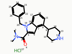 CN(C)C(=O)c1cc2c(C3CCNCC3)cccc2n1Cc1ccccc1.Cl